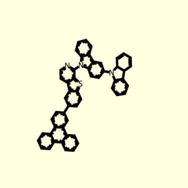 C1=CC2c3ccccc3N(c3ccc4c(c3)c3ccccc3n4-c3nccc4c3sc3ccc(-c5ccc6c7ccccc7c7ccccc7c6c5)cc34)C2C=C1